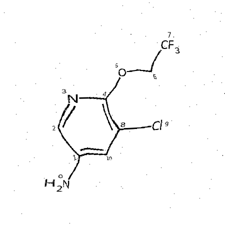 Nc1cnc(OCC(F)(F)F)c(Cl)c1